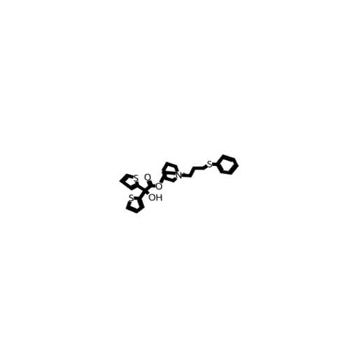 O=C(OC1C[N+]2(CCCSc3ccccc3)CCC1CC2)C(O)(c1cccs1)c1cccs1